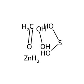 C=O.OO.OSO.[ZnH2]